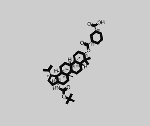 C=C(C)[C@@H]1CC[C@]2(NC(=O)OC(C)(C)C)CC[C@]3(C)[C@H](CC[C@@H]4[C@@]5(C)CC[C@H](OC(=O)[C@H]6CCC[C@@H](C(=O)O)C6)C(C)(C)[C@@H]5CC[C@]43C)[C@@H]12